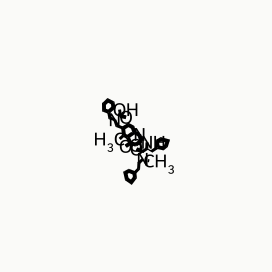 Cc1c(CN(Cc2ccccc2)C(=O)O)ccc2nc(N[C@@H](Cc3ccccc3)C(=O)N(C)CCc3ccccc3)oc(=O)c12